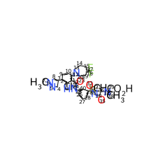 Cc1c(-c2cnn(C)c2)ccc(N2CCCC(F)(F)CC2)c1C(=O)Nc1cccc(S(C)(=O)=NC(=O)CN(C)C(=O)O)c1